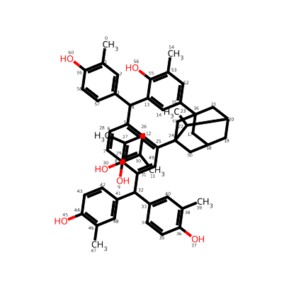 Cc1cc(C(c2ccc(O)c(C)c2)c2cc(C34CC5CC(C3)C(C)C(c3cc(C)c(O)c(C(c6ccc(O)c(C)c6)c6ccc(O)c(C)c6)c3)(C5)C4)cc(C)c2O)ccc1O